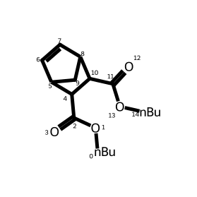 CCCCOC(=O)C1C2C=CC(C2)C1C(=O)OCCCC